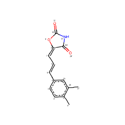 Cc1ccc(C=CC=C2OC(=O)NC2=O)cc1C